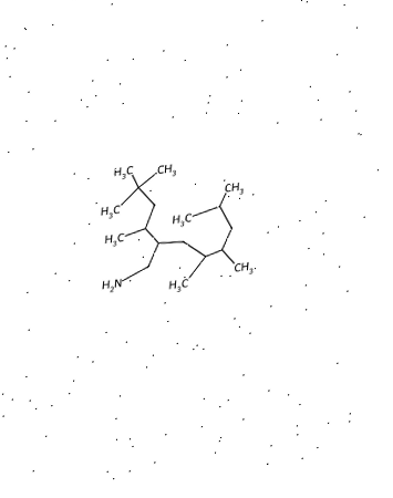 CC(C)CC(C)C(C)CC(CN)C(C)CC(C)(C)C